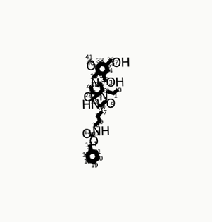 CCCN1C(=O)[C@H](CCCCNC(=O)OCc2ccccc2)NC(=O)C12CCN(Cc1c(CO)cc(CO)cc1OC)CC2